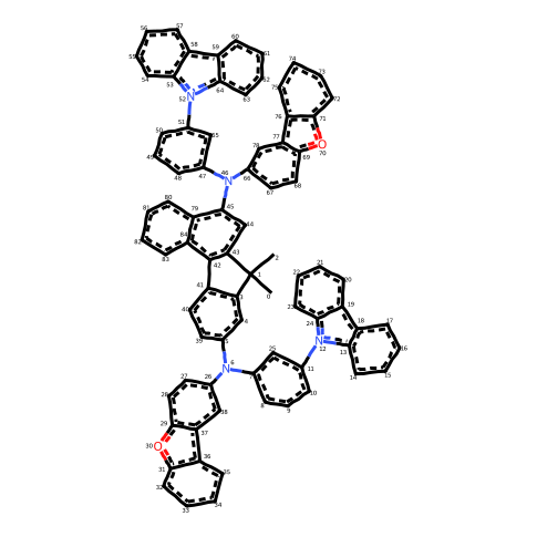 CC1(C)c2cc(N(c3cccc(-n4c5ccccc5c5ccccc54)c3)c3ccc4oc5ccccc5c4c3)ccc2-c2c1cc(N(c1cccc(-n3c4ccccc4c4ccccc43)c1)c1ccc3oc4ccccc4c3c1)c1ccccc21